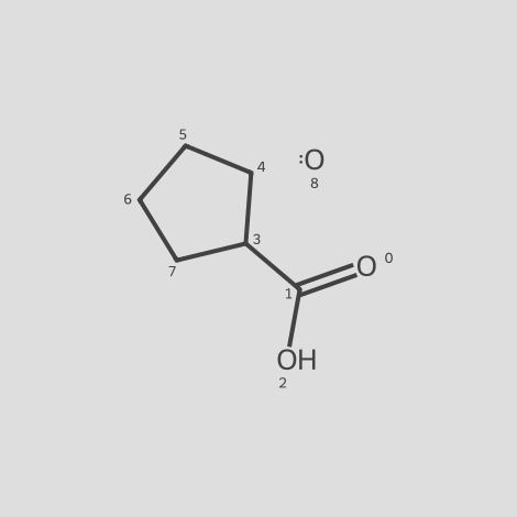 O=C(O)C1CCCC1.[O]